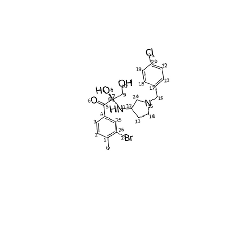 Cc1ccc(C(=O)[C@](O)(CO)NC2CCN(Cc3ccc(Cl)cc3)C2)cc1Br